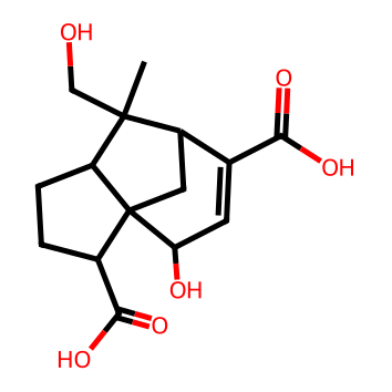 CC1(CO)C2CC3(C(O)C=C2C(=O)O)C(C(=O)O)CCC13